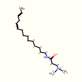 CCCC/C=C/C/C=C\CCCCCCCCCNC(=O)CCN(C)C